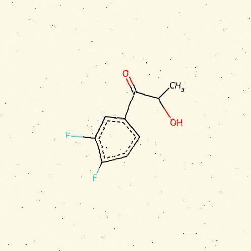 CC(O)C(=O)c1ccc(F)c(F)c1